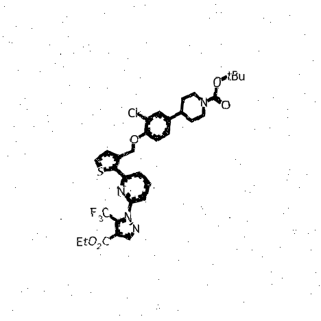 CCOC(=O)c1cnn(-c2cccc(-c3sccc3COc3ccc(C4CCN(C(=O)OC(C)(C)C)CC4)cc3Cl)n2)c1C(F)(F)F